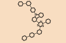 c1ccc(-c2ccc(-c3cccc(-c4nc(-c5ccccc5)nc(-c5cccc6c5c5ccccc5n6-c5ccc(-c6cccc(-c7ccccc7)c6)cc5)n4)c3)cc2)cc1